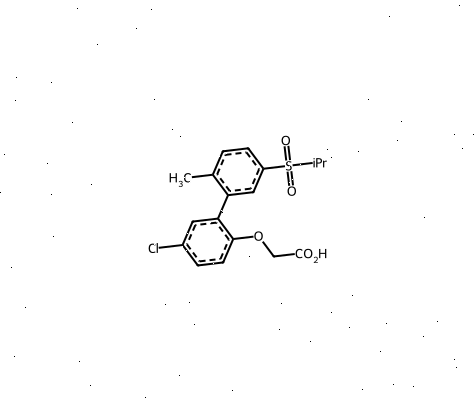 Cc1ccc(S(=O)(=O)C(C)C)cc1-c1cc(Cl)ccc1OCC(=O)O